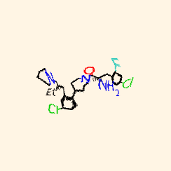 CC[C@H](Cc1cc(Cl)ccc1C1CCN(C(=O)[C@H](N)Cc2ccc(Cl)cc2F)CC1)CN1CCCC1